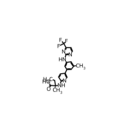 CC[C@](C)(Nc1ccc(-c2cc(C)cc(Nc3nccc(C(F)(F)F)n3)c2)cn1)C(=O)O